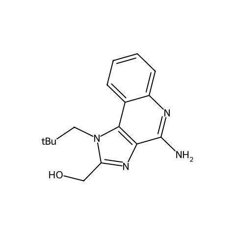 CC(C)(C)Cn1c(CO)nc2c(N)nc3ccccc3c21